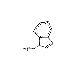 [Hf+3][CH]1C=Cc2ccccc21